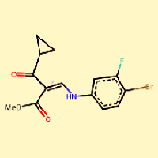 COC(=O)/C(=C\Nc1ccc(Br)c(F)c1)C(=O)C1CC1